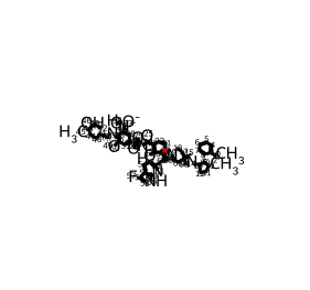 CC(C)c1ccccc1[C@@H]1CCCC1N1CC2(CCN(c3ccc(C(=O)NS(=O)(=O)c4cc5c(c([N+](=O)[O-])c4)N[C@@H]([C@H]4CC[C@](C)(O)CC4)CO5)c(Oc4cc5c(F)c[nH]c5nc4C4CC4)c3)CC2)C1